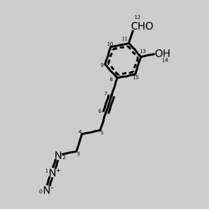 [N-]=[N+]=NCCCC#Cc1ccc(C=O)c(O)c1